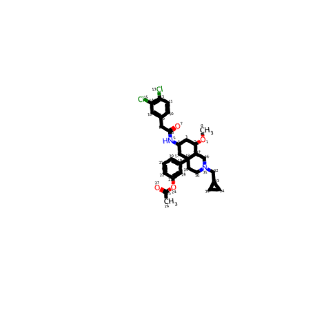 COC1CC(NC(=O)Cc2ccc(Cl)c(Cl)c2)CC2(c3cccc(OC(C)=O)c3)CCN(CC3CC3)CC12